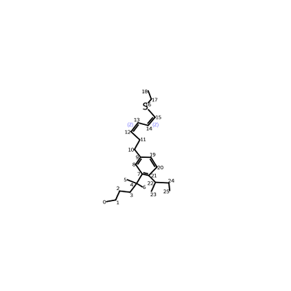 CCCCC(C)(C)c1cc(CC/C=C\C=C/SCC)ccc1C(C)CC